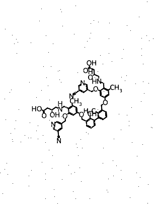 Cc1cc(OCc2cccc(-c3cccc(COc4cc(C)c(CNC[C@@H](O)CC(=O)O)c(OCc5cncc(C#N)c5)c4)c3C)c2C)cc(OCc2cncc(C#N)c2)c1CNC[C@@H](O)CC(=O)O